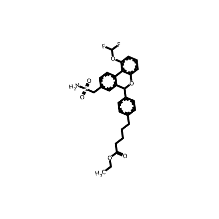 CCOC(=O)CCCCc1ccc(C2Oc3cccc(OC(F)F)c3-c3ccc(CS(N)(=O)=O)cc32)cc1